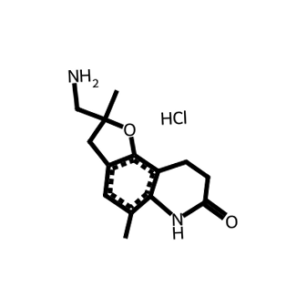 Cc1cc2c(c3c1NC(=O)CC3)OC(C)(CN)C2.Cl